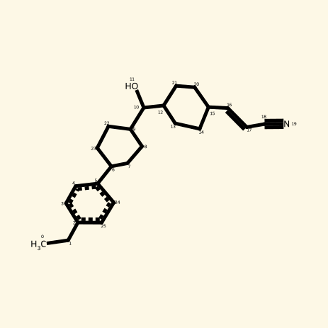 CCc1ccc(C2CCC(C(O)C3CCC(C=CC#N)CC3)CC2)cc1